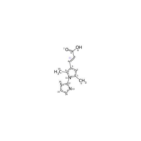 Cc1cc(/C=C/C(=O)O)c(C)n1-c1nccs1